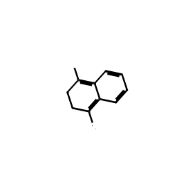 NC1=c2ccccc2=C(I)CC1